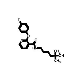 CC(C)(O)CCCCNC(=O)c1cccnc1Oc1ccc(F)cc1